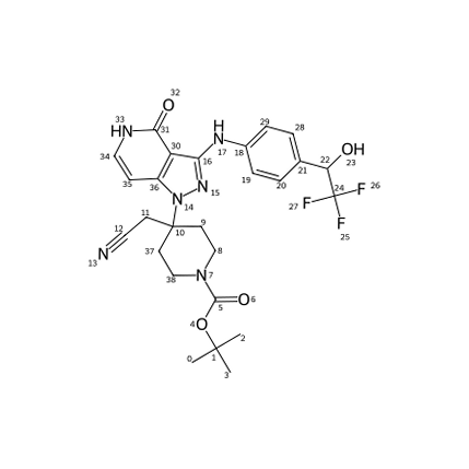 CC(C)(C)OC(=O)N1CCC(CC#N)(n2nc(Nc3ccc(C(O)C(F)(F)F)cc3)c3c(=O)[nH]ccc32)CC1